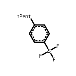 CCCCCc1ccc(S(F)(F)F)cc1